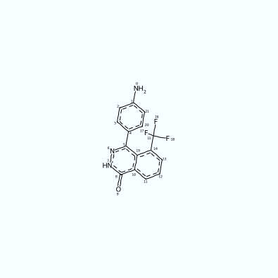 Nc1ccc(-c2n[nH]c(=O)c3cccc(C(F)(F)F)c23)cc1